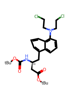 CC(C)(C)OC(=O)C[C@H](Cc1cccc2c(N(CCCl)CCCl)cccc12)NC(=O)OC(C)(C)C